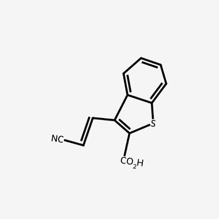 N#CC=Cc1c(C(=O)O)sc2ccccc12